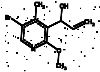 C=CC(O)c1c(OC)ncc(Br)c1C